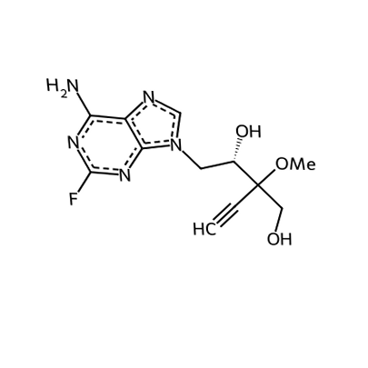 C#CC(CO)(OC)[C@@H](O)Cn1cnc2c(N)nc(F)nc21